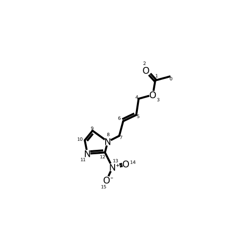 CC(=O)OCC=CCn1ccnc1[N+](=O)[O-]